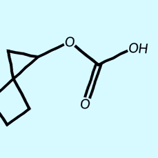 O=C(O)OC1CC12CCC2